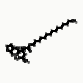 CCCCCCCCCCCCCCCOC(=O)N[C@@H](CC(C)C)C(=O)N[C@H]1CCOC1O